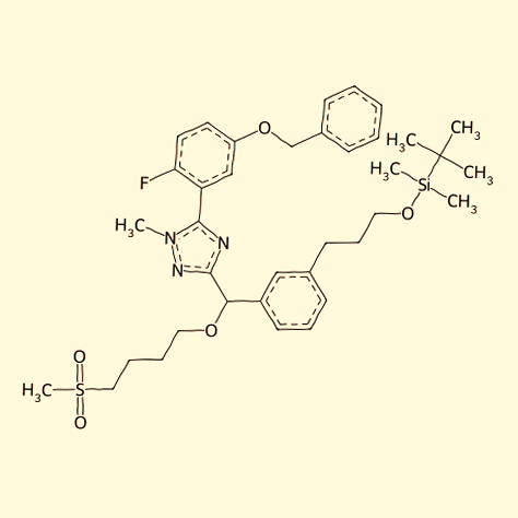 Cn1nc(C(OCCCCS(C)(=O)=O)c2cccc(CCCO[Si](C)(C)C(C)(C)C)c2)nc1-c1cc(OCc2ccccc2)ccc1F